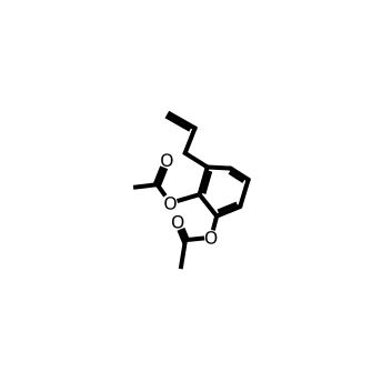 C=CCc1cccc(OC(C)=O)c1OC(C)=O